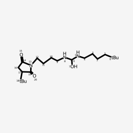 CC(C)(C)CCCCNC(O)NCCCCN1C(=O)CC(C(C)(C)C)C1=O